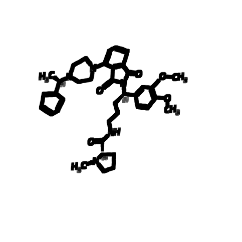 COc1ccc([C@@H](CCCNC(=O)[C@@H]2CCCN2C)N2C(=O)c3cccc(N4CCN([C@H](C)c5ccccc5)CC4)c3C2=O)cc1OC